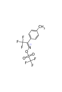 Cc1ccc(/C(=N/OS(=O)(=O)C(F)(F)F)C(F)(F)F)cc1